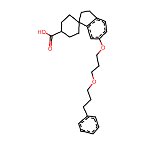 O=C(O)C1CCC2(CCc3ccc(OCCCOCCCc4ccccc4)cc32)CC1